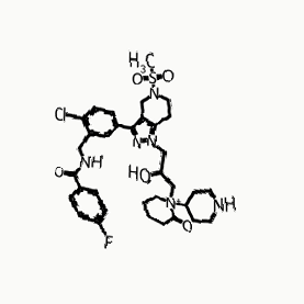 CS(=O)(=O)N1CCc2c(c(-c3ccc(Cl)c(CNC(=O)c4ccc(F)cc4)c3)nn2CC(O)C[N+]2(C3CCNCC3)CCCCC2=O)C1